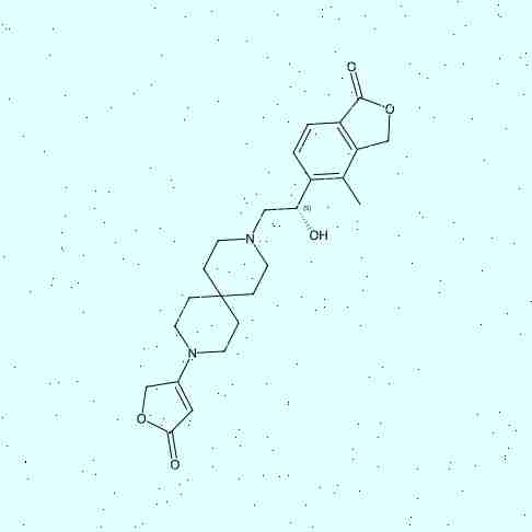 Cc1c([C@H](O)CN2CCC3(CC2)CCN(C2=CC(=O)OC2)CC3)ccc2c1COC2=O